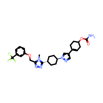 Cn1c(COc2cccc(C(F)(F)F)c2)nnc1[C@H]1CC[C@H](n2cc(C3=CCC(OC(N)=O)CC3)cn2)CC1